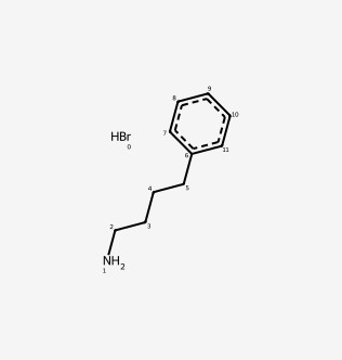 Br.NCCCCc1ccccc1